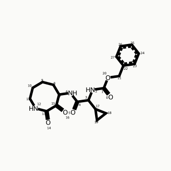 O=C(NC(C(=O)NC1CCCCNC(=O)C1=O)C1CC1)OCc1ccccc1